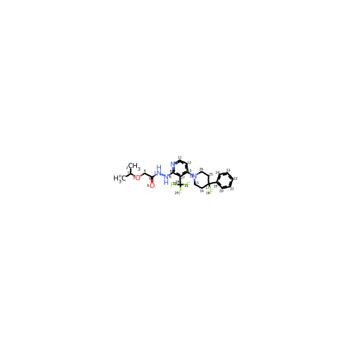 CC(C)OCC(=O)NNc1nccc(N2CCC(F)(c3ccccc3)CC2)c1C(F)(F)F